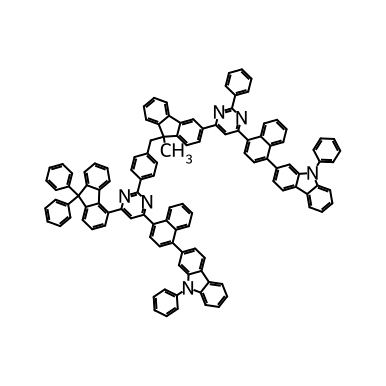 CC1(Cc2ccc(-c3nc(-c4cccc5c4-c4ccccc4C5(c4ccccc4)c4ccccc4)cc(-c4ccc(-c5ccc6c7ccccc7n(-c7ccccc7)c6c5)c5ccccc45)n3)cc2)c2ccccc2-c2cc(-c3cc(-c4ccc(-c5ccc6c7ccccc7n(-c7ccccc7)c6c5)c5ccccc45)nc(-c4ccccc4)n3)ccc21